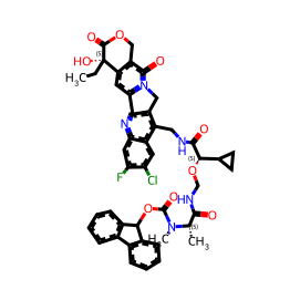 CC[C@@]1(O)C(=O)OCc2c1cc1n(c2=O)Cc2c-1nc1cc(F)c(Cl)cc1c2CNC(=O)[C@@H](OCNC(=O)[C@H](C)N(C)C(=O)OC1c2ccccc2-c2ccccc21)C1CC1